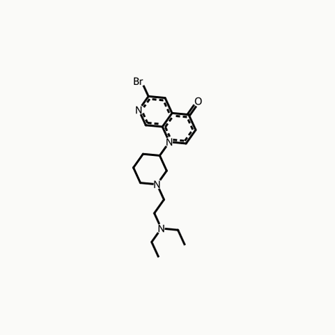 CCN(CC)CCN1CCCC(n2ccc(=O)c3cc(Br)ncc32)C1